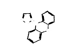 c1ccc2c(c1)Nc1ccccc1O2.c1cnon1